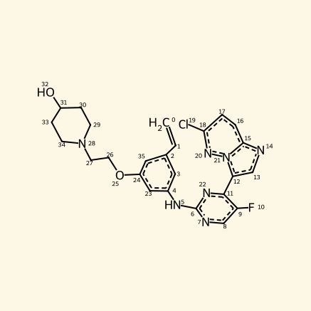 C=Cc1cc(Nc2ncc(F)c(-c3cnc4ccc(Cl)nn34)n2)cc(OCCN2CCC(O)CC2)c1